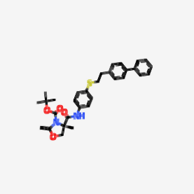 C=C1OC[C@@](C)(C(=O)Nc2ccc(SCCc3ccc(-c4ccccc4)cc3)cc2)N1C(=O)OC(C)(C)C